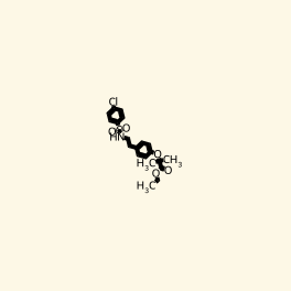 CCOC(=O)C(C)(C)Oc1ccc(CCNS(=O)(=O)c2ccc(Cl)cc2)cc1